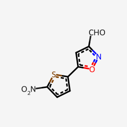 O=Cc1cc(-c2ccc([N+](=O)[O-])s2)on1